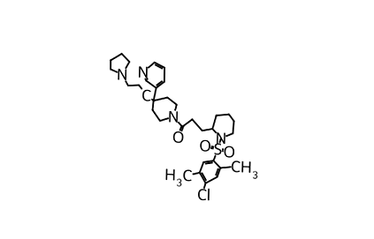 Cc1cc(S(=O)(=O)N2CCCCC2CCC(=O)N2CCC(CCCN3CCCC3)(c3cccnc3)CC2)c(C)cc1Cl